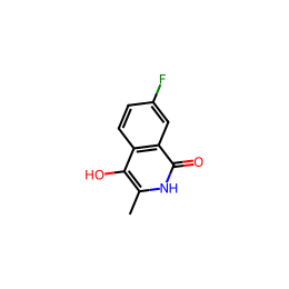 Cc1[nH]c(=O)c2cc(F)ccc2c1O